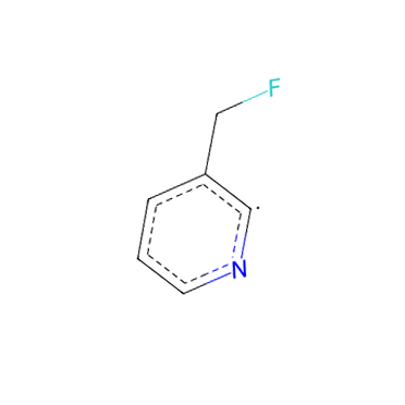 FCc1[c]nccc1